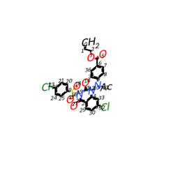 C=CCOC(=O)c1ccc(N(C(C)=O)n2c(=O)n(S(=O)(=O)c3ccc(Cl)cc3)c(=O)c3ccc(Cl)cc32)cc1